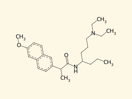 CCCC(CCCN(CC)CC)NC(=O)C(C)c1ccc2cc(OC)ccc2c1